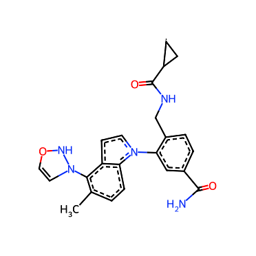 Cc1ccc2c(ccn2-c2cc(C(N)=O)ccc2CNC(=O)C2[CH]C2)c1N1C=CON1